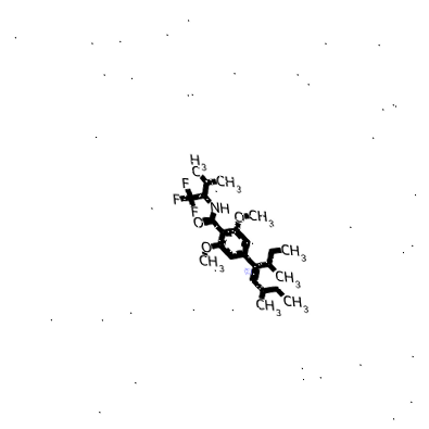 CCC(C)/C=C(/c1cc(OC)c(C(=O)NC(C(C)C)C(F)(F)F)c(OC)c1)C(C)CC